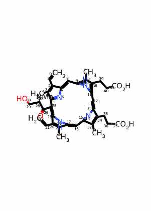 C=CC1=C(C)c2nc1cc1[nH]c(cc3nc(cc4[nH]c(c(C=C)c4C)c2C(=O)[C@H](CO)NC)C(C)=C3CCC(=O)O)c(CCC(=O)O)c1C